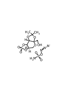 CC1(C)O[C@H]2[C@@H]3OS(=O)(=O)O[C@@H]3CO[C@@]2(CO)O1.[N-]=[N+]=NOS(N)(=O)=O